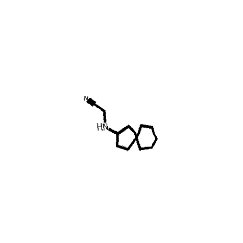 N#CCNC1CCC2(CCCCC2)C1